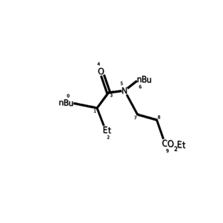 CCCCC(CC)C(=O)N(CCCC)CCC(=O)OCC